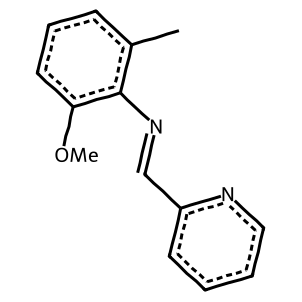 COc1cccc(C)c1N=Cc1ccccn1